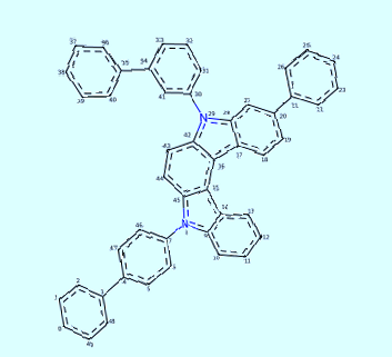 c1ccc(-c2ccc(-n3c4ccccc4c4c5c6ccc(-c7ccccc7)cc6n(-c6cccc(-c7ccccc7)c6)c5ccc43)cc2)cc1